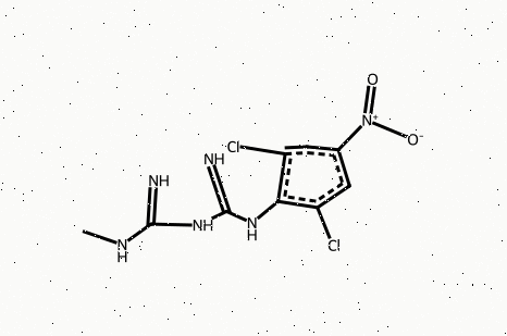 CNC(=N)NC(=N)Nc1c(Cl)cc([N+](=O)[O-])cc1Cl